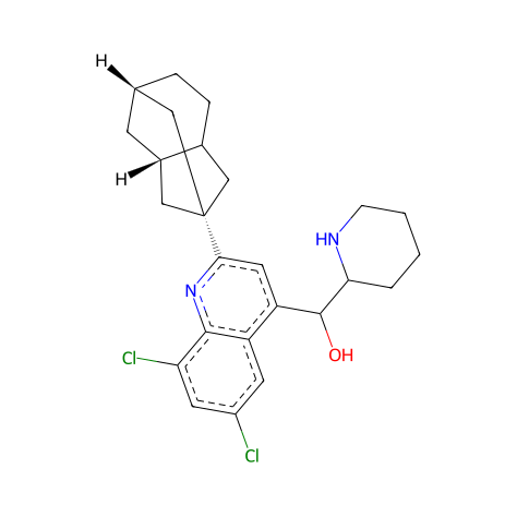 OC(c1cc([C@]23CC4CC[C@@H](C[C@H]4C2)C3)nc2c(Cl)cc(Cl)cc12)C1CCCCN1